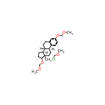 COCCl.COCOc1ccc2c(c1)CC[C@@H]1[C@@H]2CC[C@]2(C)[C@@H](OCOC)CC[C@@H]12